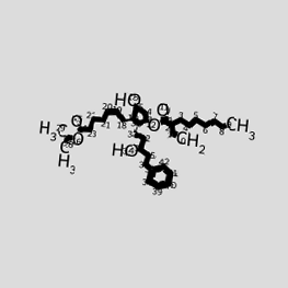 C=CC(CCCCCCC)C(=O)O[C@@H]1C[C@H](O)[C@H](C/C=C\CCCC(=O)OC(C)C)[C@H]1CC[C@@H](O)CCc1ccccc1